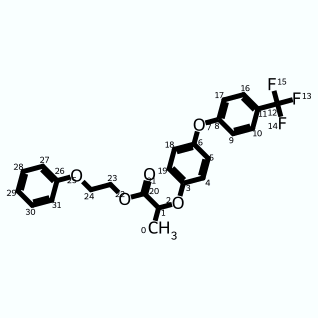 CC(Oc1ccc(Oc2ccc(C(F)(F)F)cc2)cc1)C(=O)OCCOc1ccccc1